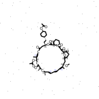 CO[C@H]1C[C@@H]2CC[C@@H](C)[C@@](O)(O2)C(=O)C(=O)N2CCCC[C@H]2C(=O)O[C@H](CC[C@H]2CC[C@H](OC(C)=O)CC2)CC(=O)C/C=C(\C)[C@@H](OC(C)=O)CC(=O)[C@H](C)C[C@H](C)/C=C/C=C/C=C/1C